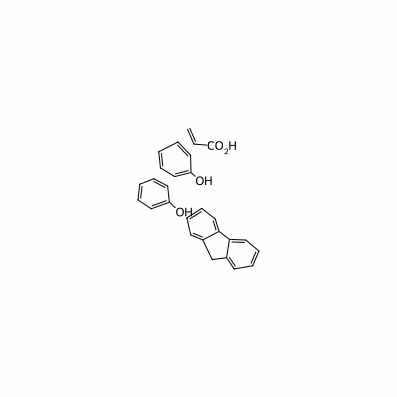 C=CC(=O)O.Oc1ccccc1.Oc1ccccc1.c1ccc2c(c1)Cc1ccccc1-2